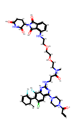 C=CC(=O)N1CCN(c2nc(NCCC(=O)N(C)CCOCCOCCNc3cccc4c3C(=O)N(C3CCC(=O)NC3=O)C4=O)nc3c(F)c(C4=C(F)C=CC[C@@H]4C)c(Cl)cc23)CC1